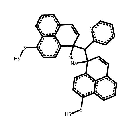 [Na][C]1(C(c2ccccn2)[C]2([Na])C=Cc3cccc4c(SS)ccc2c34)C=Cc2cccc3c(SS)ccc1c23